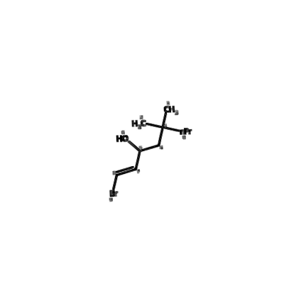 CCCC(C)(C)CC(O)C=CBr